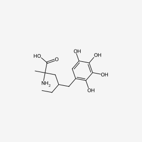 CCC(Cc1cc(O)c(O)c(O)c1O)CC(C)(N)C(=O)O